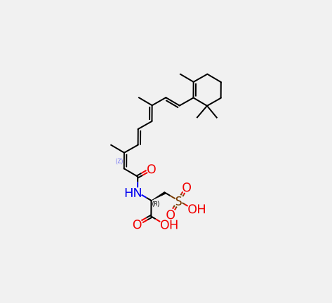 CC(C=CC1=C(C)CCCC1(C)C)=CC=C/C(C)=C\C(=O)N[C@@H](CS(=O)(=O)O)C(=O)O